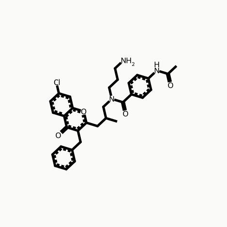 CC(=O)Nc1ccc(C(=O)N(CCCN)CC(C)Cc2oc3cc(Cl)ccc3c(=O)c2Cc2ccccc2)cc1